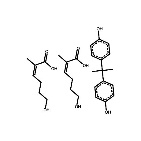 CC(=CCCCO)C(=O)O.CC(=CCCCO)C(=O)O.CC(C)(c1ccc(O)cc1)c1ccc(O)cc1